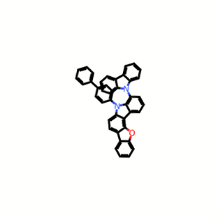 c1ccc(-c2ccc(-n3c4ccc5c6ccccc6oc5c4c4cccc(-n5c6ccccc6c6ccccc65)c43)cc2)cc1